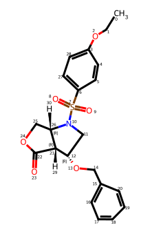 CCOc1ccc(S(=O)(=O)N2C[C@H](OCc3ccccc3)[C@@H]3C(=O)OC[C@@H]32)cc1